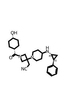 N#CCC1(N2CCC(N[C@@H]3C[C@H]3c3ccccc3)CC2)CN(C(=O)[C@H]2CC[C@@H](O)CC2)C1